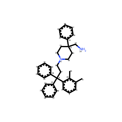 Cc1cccc(C(CCN2CCC(CN)(c3ccccc3)CC2)(c2ccccc2)c2ccccc2)c1C